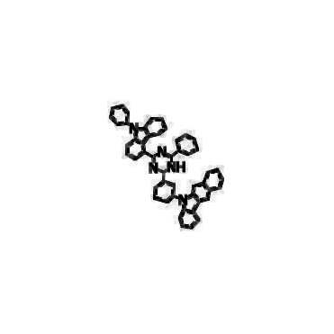 c1ccc(C2=NC(c3cccc4c3c3ccccc3n4-c3ccccc3)=NC(c3cccc(-n4c5ccccc5c5cc6ccccc6cc54)c3)N2)cc1